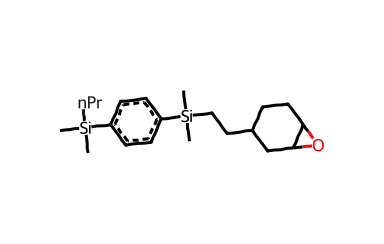 CCC[Si](C)(C)c1ccc([Si](C)(C)CCC2CCC3OC3C2)cc1